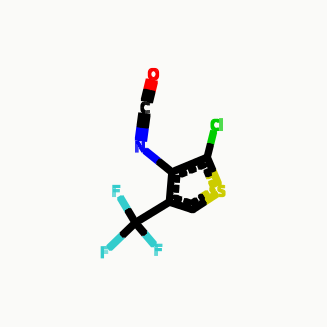 O=C=Nc1c(C(F)(F)F)csc1Cl